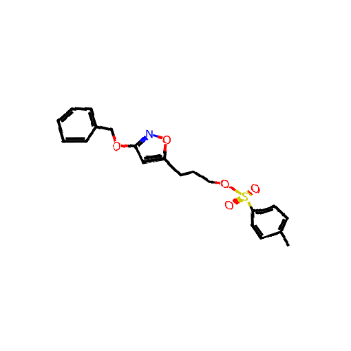 Cc1ccc(S(=O)(=O)OCCCc2cc(OCc3ccccc3)no2)cc1